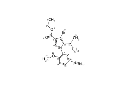 CCOC(=O)c1nn(-c2cc(C#N)ccc2OC)c(C(C)C)c1Br